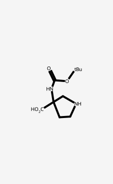 CC(C)(C)OC(=O)NC1(C(=O)O)CCNC1